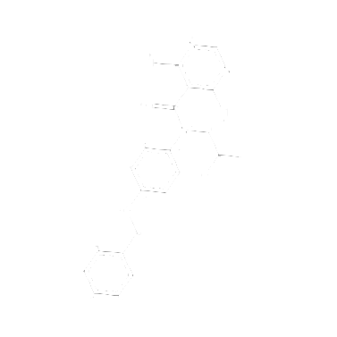 CC(O)CN(C(=O)c1c(Cl)ncnc1Cl)c1ccc(OCc2ccccc2)cc1